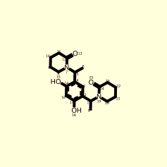 CC(c1cc(C(C)N2CCCCC2=O)c(O)cc1O)N1CCCCC1=O